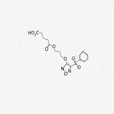 O=C(O)CCCC(=O)OCCCOc1nonc1S(=O)(=O)c1ccccc1